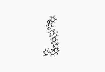 c1ccc(-c2ccc3ccc4ccc(-c5ccc6c(ccc7cc(-c8ccc9oc%10ccccc%10c9c8)ccc76)c5)nc4c3n2)cc1